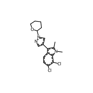 Cc1c(-c2cnn(C3CCCCO3)c2)c2ccc(Cl)c(Cl)c2n1C